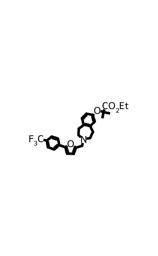 CCOC(=O)C(C)(C)Oc1ccc2c(c1)CCN(Cc1ccc(-c3ccc(C(F)(F)F)cc3)o1)CC2